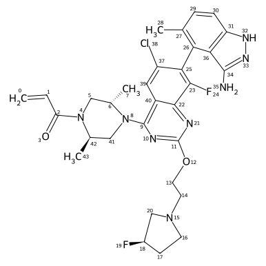 C=CC(=O)N1C[C@H](C)N(c2nc(OCCN3CC[C@@H](F)C3)nc3c(F)c(-c4c(C)ccc5[nH]nc(N)c45)c(Cl)cc23)C[C@H]1C